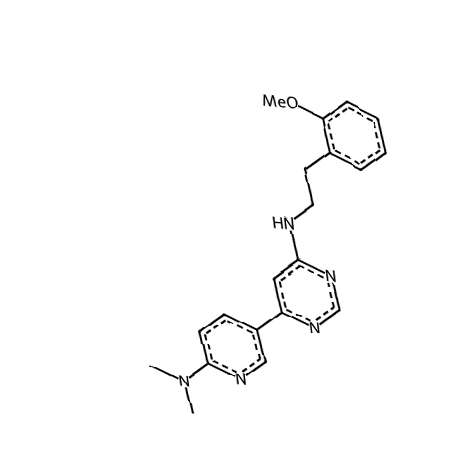 COc1ccccc1CCNc1cc(-c2ccc(N(C)C)nc2)ncn1